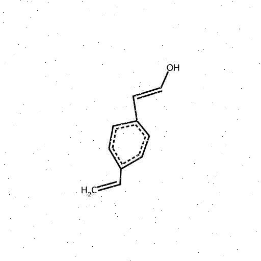 C=Cc1ccc(C=CO)cc1